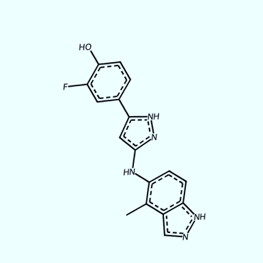 Cc1c(Nc2cc(-c3ccc(O)c(F)c3)[nH]n2)ccc2[nH]ncc12